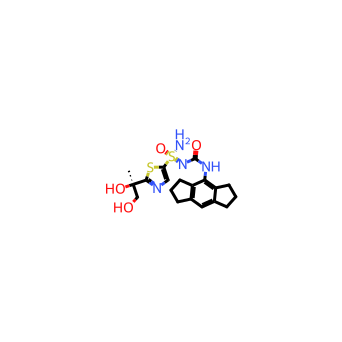 C[C@@](O)(CO)c1ncc(S(N)(=O)=NC(=O)Nc2c3c(cc4c2CCC4)CCC3)s1